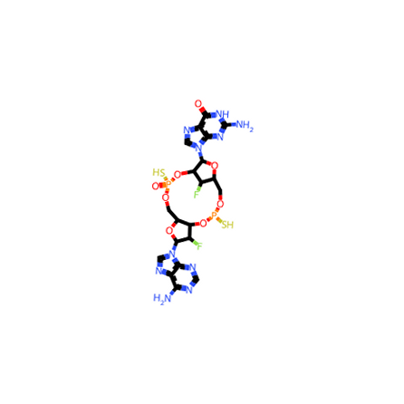 Nc1nc2c(ncn2C2OC3COP(S)OC4C(COP(=O)(S)OC2C3F)OC(n2cnc3c(N)ncnc32)C4F)c(=O)[nH]1